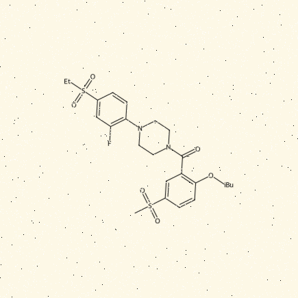 CCC(C)Oc1ccc(S(C)(=O)=O)cc1C(=O)N1CCN(c2ccc(S(=O)(=O)CC)cc2F)CC1